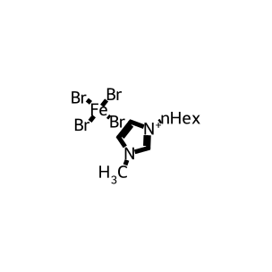 CCCCCC[n+]1ccn(C)c1.[Br][Fe]([Br])([Br])[Br]